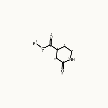 CCOC(=O)C1CCNC(=O)C1